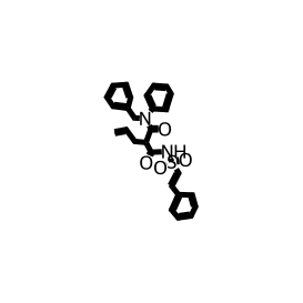 C=CCC(C(=O)NS(=O)(=O)/C=C/c1ccccc1)C(=O)N(Cc1ccccc1)c1ccccc1